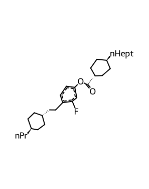 CCCCCCC[C@H]1CC[C@H](C(=O)Oc2ccc(CC[C@H]3CC[C@H](CCC)CC3)c(F)c2)CC1